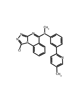 Cc1ccc(-c2cccc(N(C)c3nc4nnc(Cl)n4c4ccccc34)c2)nc1